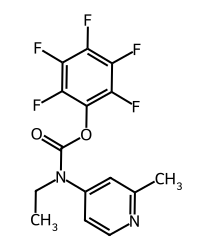 CCN(C(=O)Oc1c(F)c(F)c(F)c(F)c1F)c1ccnc(C)c1